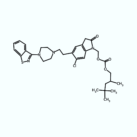 CC(COC(=O)OCN1C(=O)Cc2cc(CCN3CCN(c4nsc5ccccc45)CC3)c(Cl)cc21)CC(C)(C)C